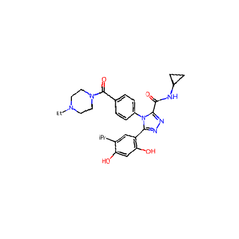 CCN1CCN(C(=O)c2ccc(-n3c(C(=O)NC4CC4)nnc3-c3cc(C(C)C)c(O)cc3O)cc2)CC1